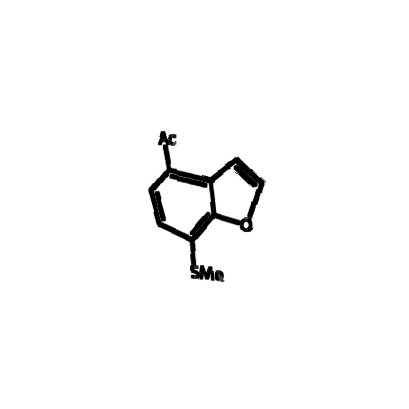 CSc1ccc(C(C)=O)c2ccoc12